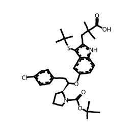 CC(C)(C)OC(=O)N1CCC[C@H]1C(Cc1ccc(Cl)cc1)Oc1ccc2[nH]c(CC(C)(C)C(=O)O)c(SC(C)(C)C)c2c1